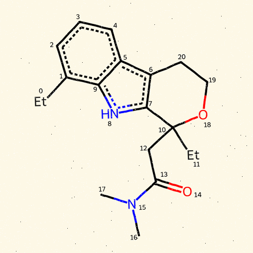 CCc1cccc2c3c([nH]c12)C(CC)(CC(=O)N(C)C)OCC3